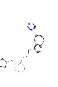 c1cc(CN2CCNCC2CCCc2c[nH]c3ccc(-n4cnnc4)cc23)co1